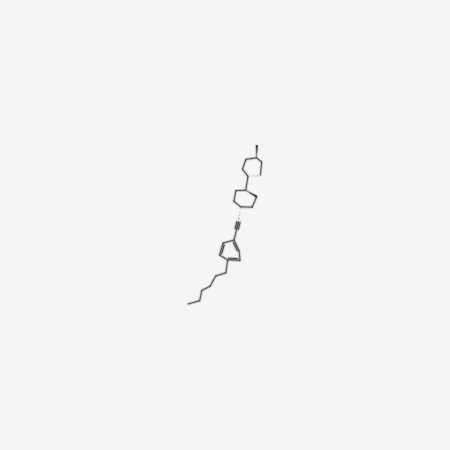 CCCCCCc1ccc(C#C[C@H]2CC[C@H]([C@H]3CC[C@H](C)CC3)CC2)cc1